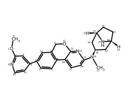 COc1cc(-c2ccc3c(c2)COc2nc(N(C)[C@@H]4C[C@H]5CC[C@@H](C4)N5)ccc2-3)ccn1